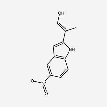 CC(=CO)c1cc2cc([N+](=O)[O-])ccc2[nH]1